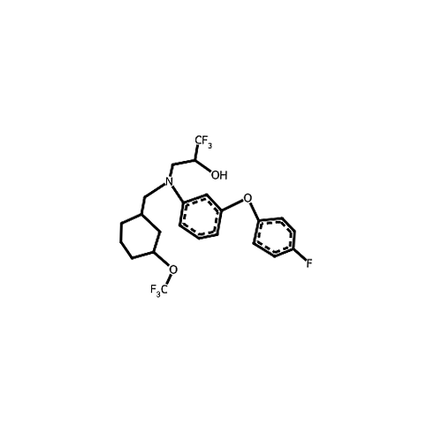 OC(CN(CC1CCCC(OC(F)(F)F)C1)c1cccc(Oc2ccc(F)cc2)c1)C(F)(F)F